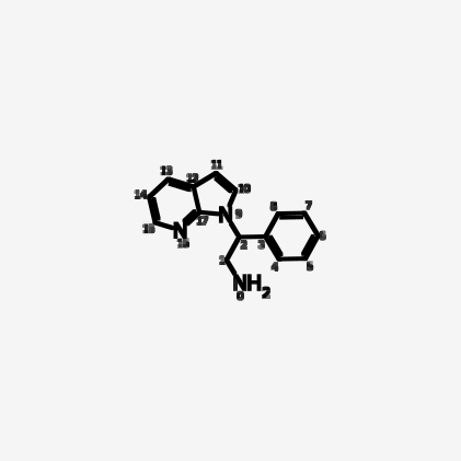 NCC(c1ccccc1)n1ccc2cccnc21